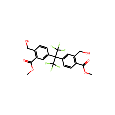 COC(=O)c1ccc(C(c2ccc(CO)c(C(=O)OC)c2)(C(F)(F)F)C(F)(F)F)cc1CO